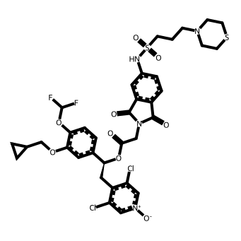 O=C(CN1C(=O)c2ccc(NS(=O)(=O)CCCN3CCSCC3)cc2C1=O)O[C@@H](Cc1c(Cl)c[n+]([O-])cc1Cl)c1ccc(OC(F)F)c(OCC2CC2)c1